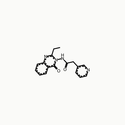 CCc1nc2ccccc2c(=O)n1NC(=O)Cc1cccnc1